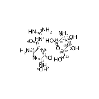 Cl.N=C(N)NC(=O)c1nc(Cl)c(N)nc1N.N[C@@H]1[C@@H](O)[C@H](O)[C@@H](CO)O[C@H]1O